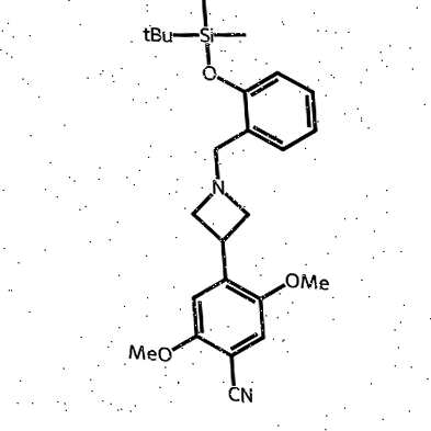 COc1cc(C2CN(Cc3ccccc3O[Si](C)(C)C(C)(C)C)C2)c(OC)cc1C#N